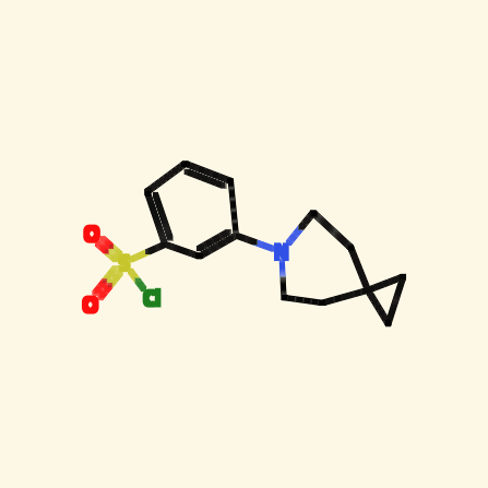 O=S(=O)(Cl)c1cccc(N2CCC3(CC2)CC3)c1